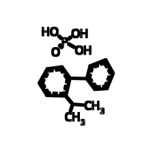 CC(C)c1ccccc1-c1ccccc1.O=P(O)(O)O